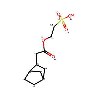 O=C(CC1CC2CCC1C2)OCCS(=O)(=O)O